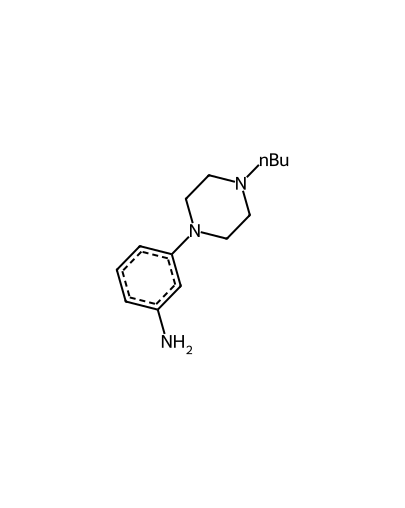 CCCCN1CCN(c2cccc(N)c2)CC1